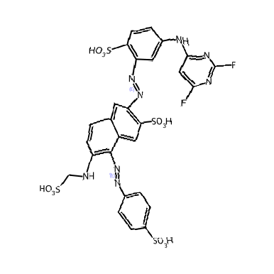 O=S(=O)(O)CNc1ccc2cc(/N=N/c3cc(Nc4cc(F)nc(F)n4)ccc3S(=O)(=O)O)c(S(=O)(=O)O)cc2c1/N=N/c1ccc(S(=O)(=O)O)cc1